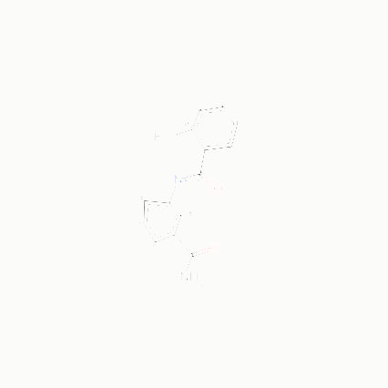 NC(=O)c1cccc(NC(=O)c2ccccc2C(F)(F)F)c1